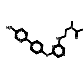 CC(=O)N(C)CCNc1cncc(Oc2ccc(-c3cnc(N)cn3)cc2)n1